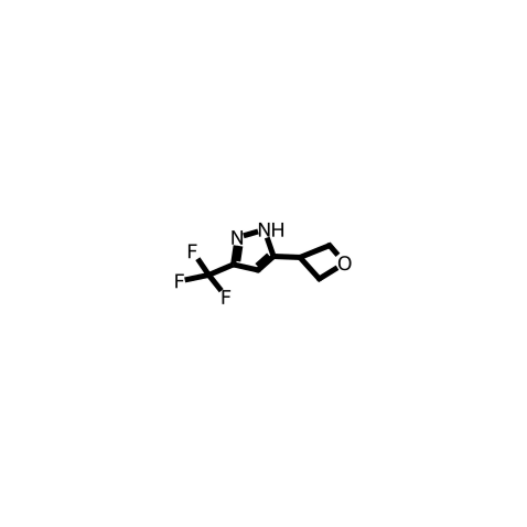 FC(F)(F)c1cc(C2COC2)[nH]n1